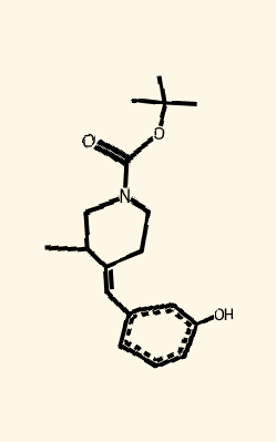 CC1CN(C(=O)OC(C)(C)C)CCC1=Cc1cccc(O)c1